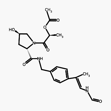 CC(=O)O[C@@H](C)C(=O)N1C[C@H](O)C[C@H]1C(=O)NCc1ccc(/C(C)=C/NC=O)cc1